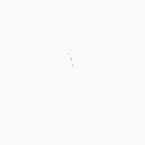 C=CC(=O)C#CC#CC[C@@H](O)[C@H](O)CCCCCCC